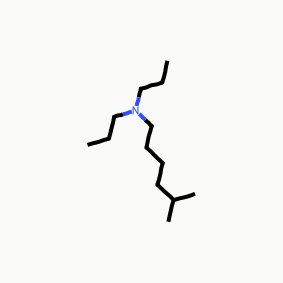 CCCN(CCC)CCCCC(C)C